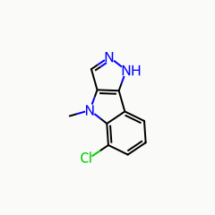 Cn1c2cn[nH]c2c2cccc(Cl)c21